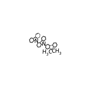 CC1(C)c2ccccc2-c2cc(-n3c4ccccc4c4c(-n5c6c(c7ccccc75)C=CCC6)cccc43)ccc21